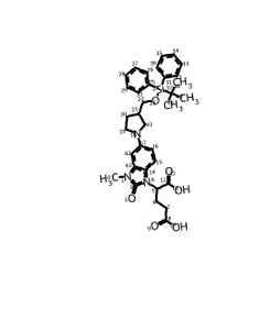 Cn1c(=O)n(C(CCC(=O)O)C(=O)O)c2ccc(N3CCC(CO[Si](c4ccccc4)(c4ccccc4)C(C)(C)C)C3)cc21